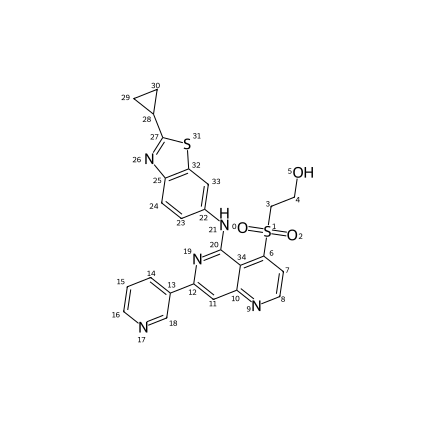 O=S(=O)(CCO)c1ccnc2cc(-c3cccnc3)nc(Nc3ccc4nc(C5CC5)sc4c3)c12